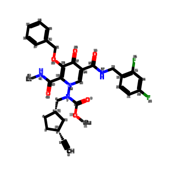 C#C[C@@H]1CC[C@H](CN(C(=O)OC(C)(C)C)n2cc(C(=O)NCc3ccc(F)cc3F)c(=O)c(OCc3ccccc3)c2C(=O)NCC)C1